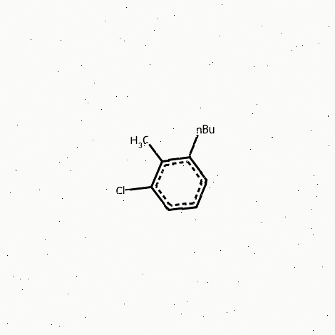 CCCCc1cccc(Cl)c1C